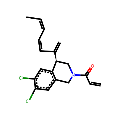 C=CC(=O)N1Cc2cc(Cl)c(Cl)cc2[C@@H](C(=C)/C=C\C=C/C)C1